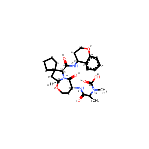 CC(C(=O)N[C@H]1CCO[C@H]2CC3(CCCC3)[C@@H](C(=O)NC3CCOc4ccccc43)N2C1=O)N(C)C(=O)O